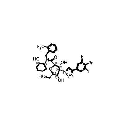 O=C([C@@H]1O[C@H](CO)[C@H](O)[C@H](n2cc(-c3cc(F)c(Br)c(F)c3)nn2)[C@H]1O)N(Cc1ccccc1C(F)(F)F)[C@H]1CCCC[C@@H]1O